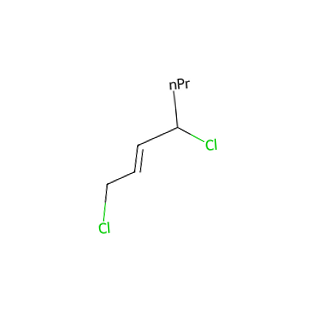 CCCC(Cl)C=CCCl